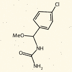 COC(NC(N)=O)c1ccc(Cl)cc1